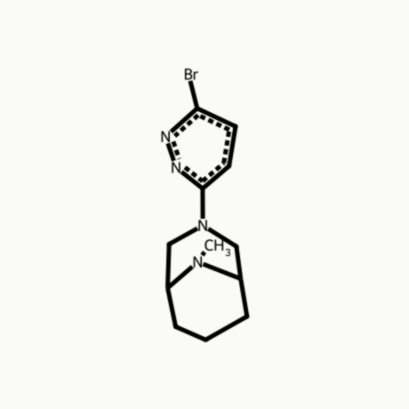 CN1C2CCCC1CN(c1ccc(Br)nn1)C2